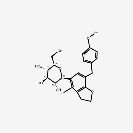 CCOc1ccc(Cc2cc([C@@H]3O[C@H](CO)[C@@H](O)[C@H](O)[C@H]3O)c(Cl)c3c2OCC3)cc1